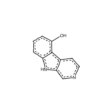 Oc1cccc2[nH]c3cnccc3c12